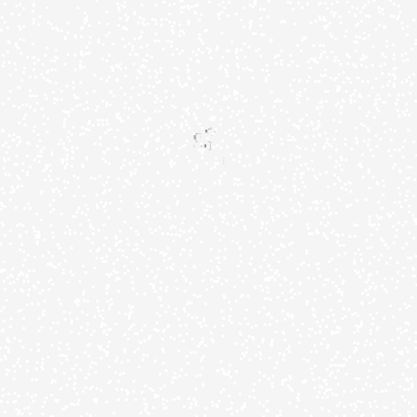 CCCCCCCCCCCCCCCCCCOC[C@H](O)COC(=O)P(=O)(O)O